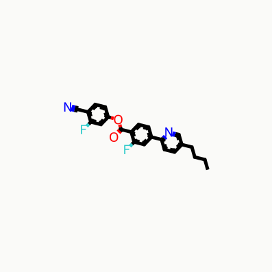 CCCCc1ccc(-c2ccc(C(=O)Oc3ccc(C#N)c(F)c3)c(F)c2)nc1